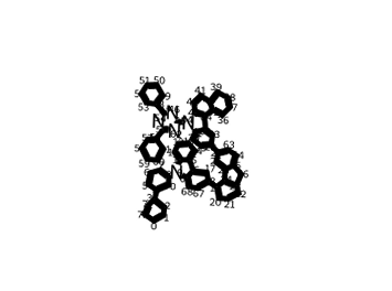 c1ccc(-c2cccc(-n3c4ccccc4c4cc(-c5cccc6c5-c5cc(-c7ccc8c(c7)c7c9ccccc9ccc7n8-c7nc(-c8ccccc8)nc(-c8ccccc8)n7)ccc5C6)ccc43)c2)cc1